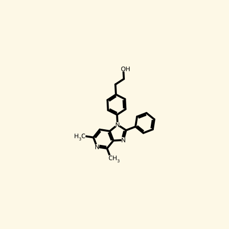 Cc1cc2c(nc(-c3ccccc3)n2-c2ccc(CCO)cc2)c(C)n1